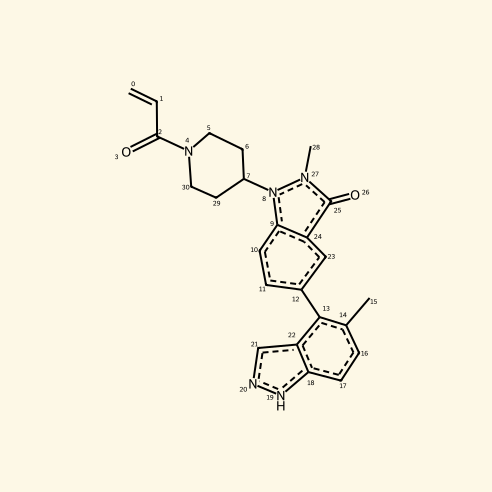 C=CC(=O)N1CCC(n2c3ccc(-c4c(C)ccc5[nH]ncc45)cc3c(=O)n2C)CC1